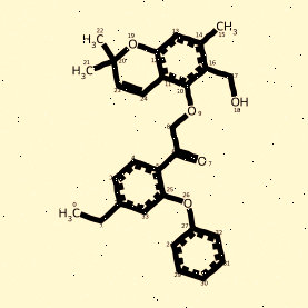 CCc1ccc(C(=O)COc2c3c(cc(C)c2CO)OC(C)(C)C=C3)c(Oc2ccccc2)c1